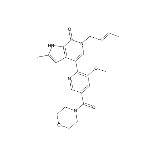 CC=CCn1cc(-c2ncc(C(=O)N3CCOCC3)cc2OC)c2cc(C)[nH]c2c1=O